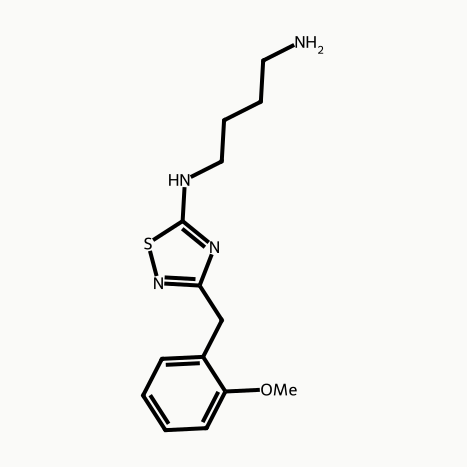 COc1ccccc1Cc1nsc(NCCCCN)n1